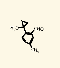 Cc1ccc(C2(C)CC2)c(C=O)c1